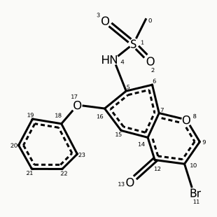 CS(=O)(=O)Nc1cc2occ(Br)c(=O)c2cc1Oc1ccccc1